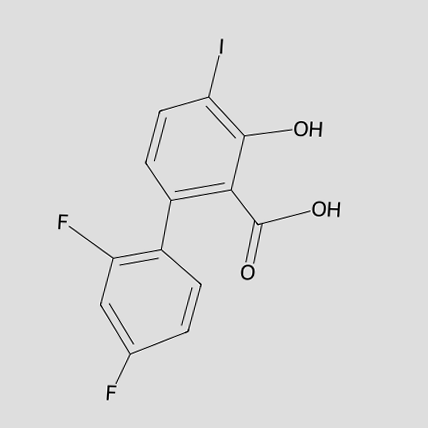 O=C(O)c1c(-c2ccc(F)cc2F)ccc(I)c1O